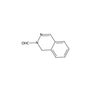 O=CN1Cc2ccccc2C=N1